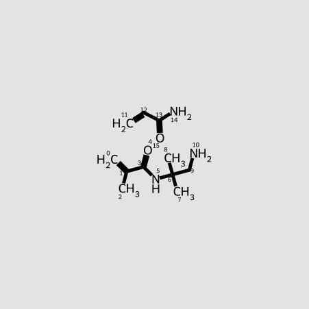 C=C(C)C(=O)NC(C)(C)CN.C=CC(N)=O